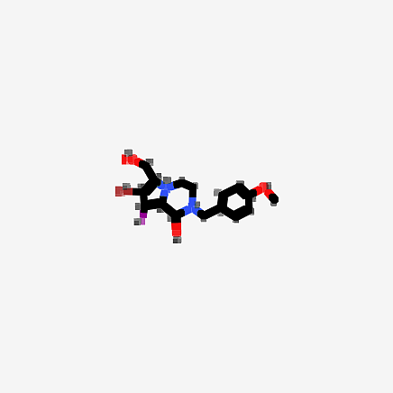 COc1ccc(CN2CCn3c(CO)c(Br)c(I)c3C2=O)cc1